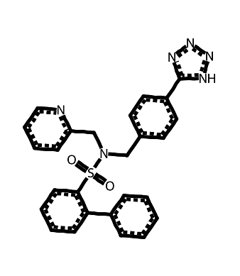 O=S(=O)(c1ccccc1-c1ccccc1)N(Cc1ccc(-c2nnn[nH]2)cc1)Cc1ccccn1